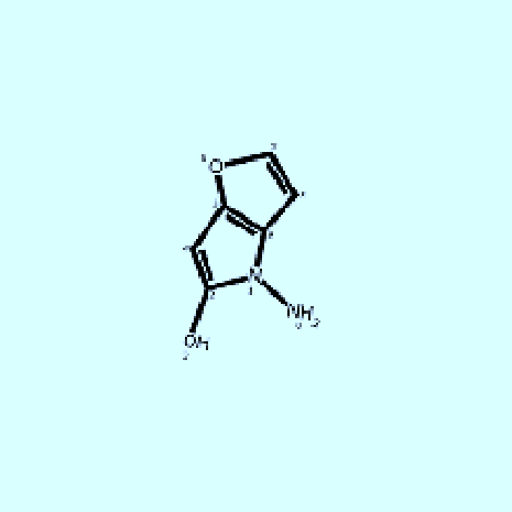 Nn1c(O)cc2occc21